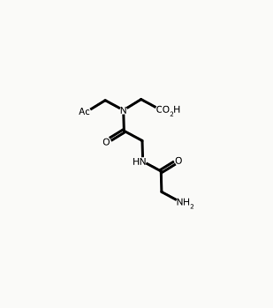 CC(=O)CN(CC(=O)O)C(=O)CNC(=O)CN